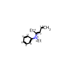 C=C/C=C(\CC)N(CC)c1ccccc1